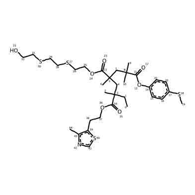 CCC(C)(CC(C)(CC(C)(C)C(=O)Oc1ccc(SC)cc1)C(=O)OCCSCCSCCO)C(=O)OCCc1scnc1C